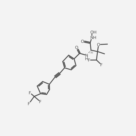 COC(C)(C(F)F)[C@H](NC(=O)c1ccc(C#Cc2ccc(C(F)(F)F)cc2)cc1)C(=O)NO